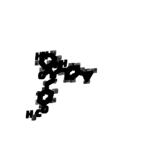 COc1ccc(CCN2C(=O)C3(CCNCC3)NC2c2ccc(C3CC3)cc2)cc1